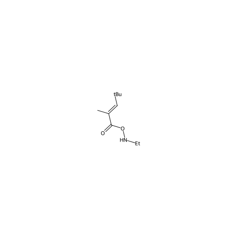 CCNOC(=O)C(C)=CC(C)(C)C